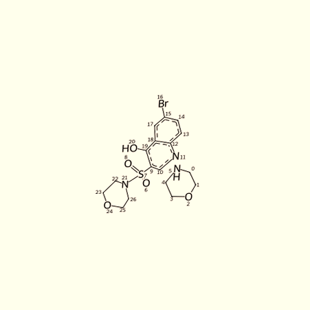 C1COCCN1.O=S(=O)(c1cnc2ccc(Br)cc2c1O)N1CCOCC1